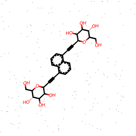 OCC1OC(C#Cc2cccc3c(C#CC4OC(CO)[C@@H](O)C(O)C4O)cccc23)C(O)C(O)[C@@H]1O